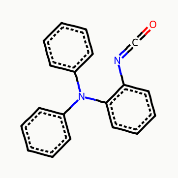 O=C=Nc1ccccc1N(c1ccccc1)c1ccccc1